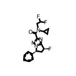 O=C(c1nc2n(n1)[C@H](c1ccccc1)C[C@@H]2F)N(CC(F)F)C1CC1